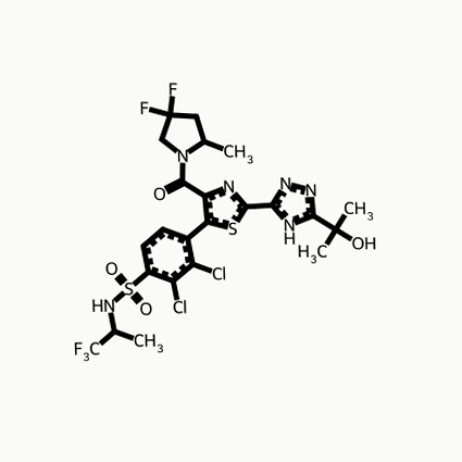 CC1CC(F)(F)CN1C(=O)c1nc(-c2nnc(C(C)(C)O)[nH]2)sc1-c1ccc(S(=O)(=O)NC(C)C(F)(F)F)c(Cl)c1Cl